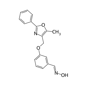 Cc1oc(-c2ccccc2)nc1COc1cccc(/C=N/O)c1